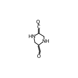 O=C=C1CNC(=C=O)CN1